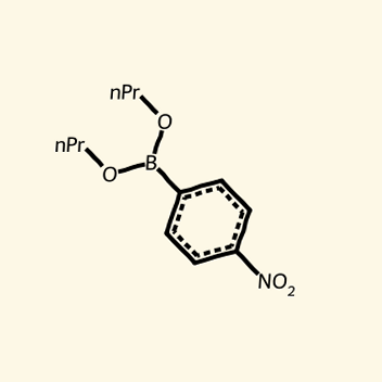 CCCOB(OCCC)c1ccc([N+](=O)[O-])cc1